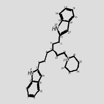 c1ccc2[nH]c(CCCC(CCc3cc4ccccc4[nH]3)CCN3CCCCC3)cc2c1